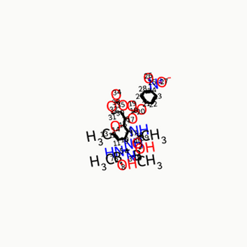 CB(O)/N=C(/NB(C)O)N[C@H]1C=C(C)O[C@@H]([C@H](OC(=O)Oc2ccc([N+](=O)[O-])cc2)[C@H]2COC(=O)O2)[C@@H]1NC(C)=O